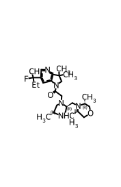 CCC(C)(F)c1cnc2c(c1)N(C(=O)CN1C[C@@H](C)NC[C@@H]1CN1[C@H](C)COC[C@H]1C)CC2(C)C